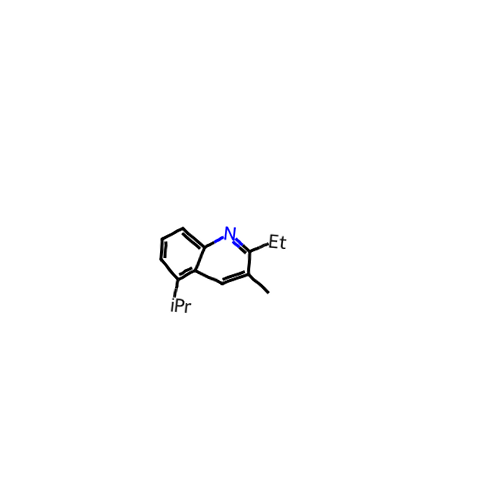 CCc1nc2cccc(C(C)C)c2cc1C